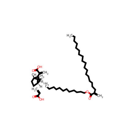 C=C(C(=O)O)C1C[C@H]2CC[C@@]1(C)C2(C)C.C=C(CCCCCCCCCCCCCCCCCC)C(=O)OCCCCCCCCCCCC.C=CC(=O)O